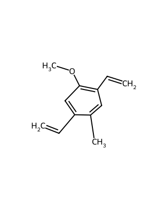 C=Cc1cc(OC)c(C=C)cc1C